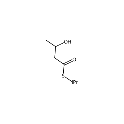 CC(O)CC(=O)SC(C)C